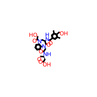 Cc1cc(C(=O)N[C@H]2CN(C(=O)CO)c3ccccc3N(CC(=O)N[C@H](C=O)CC(=O)O)C2=O)cc(C)c1CO